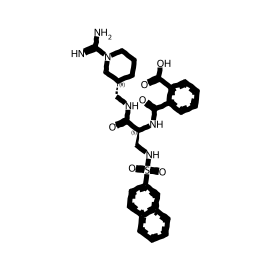 N=C(N)N1CCC[C@H](CNC(=O)[C@H](CNS(=O)(=O)c2ccc3ccccc3c2)NC(=O)c2ccccc2C(=O)O)C1